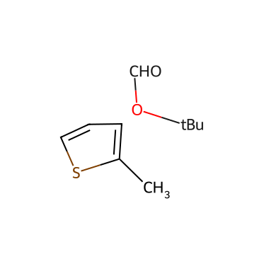 CC(C)(C)OC=O.Cc1cccs1